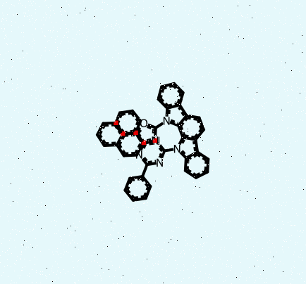 c1ccc(-c2nc(-c3ccccc3)nc(-n3c4ccccc4c4ccc5c6ccccc6n(-c6nc7ccc8ccccc8c7o6)c5c43)n2)cc1